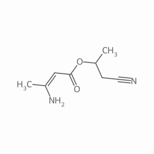 C/C(N)=C/C(=O)OC(C)CC#N